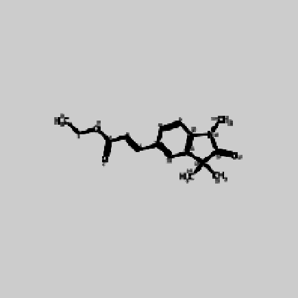 CCOC(=O)/C=C/c1ccc2c(c1)C(C)(C)C(=O)N2C